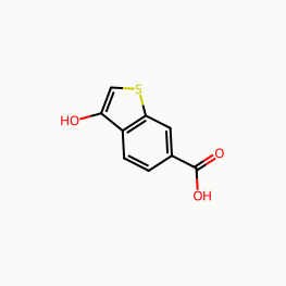 O=C(O)c1ccc2c(O)csc2c1